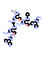 Cc1nccc(-c2ncc(N)nc2-c2ccco2)n1.Nc1cnc(-c2ccnc(-c3ccccc3)n2)c(-c2ccco2)n1.Nc1cnc(-c2ccnc(C3CC3)n2)c(-c2ccco2)n1.Nc1cnc(-c2ccncc2)c(-c2ccccn2)n1.Nc1cnc(-c2ccncc2)c(-c2cccnc2)n1